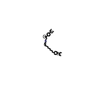 CCN(CC)c1ccc(C=CC=CC=CC=C=C/C=C/CC(=O)c2ccc(N(CC)CC)cc2)cc1